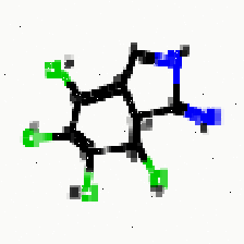 N=C1N=Cc2c(Cl)c(Cl)c(Cl)c(Cl)c21